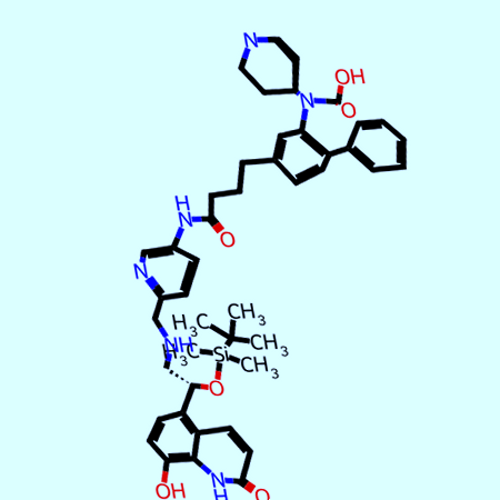 CC(C)(C)[Si](C)(C)O[C@@H](CNCc1ccc(NC(=O)CCCc2ccc(-c3ccccc3)c(N(C(=O)O)C34CCN(CC3)CC4)c2)cn1)c1ccc(O)c2[nH]c(=O)ccc12